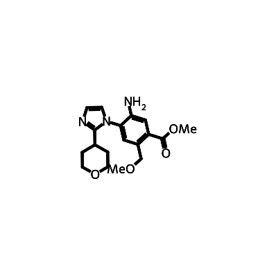 COCc1cc(-n2ccnc2C2CCOCC2)c(N)cc1C(=O)OC